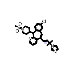 CC(C)(/C=C/C1=Cc2cc(Cl)ccc2C(C2CCN(S(C)(=O)=O)CC2)c2ncccc21)n1ccnc1